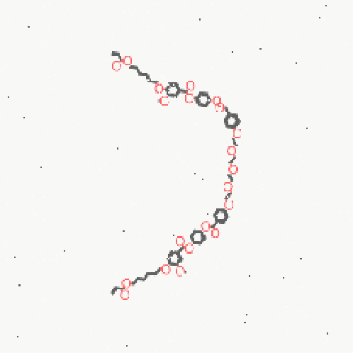 C=CC(=O)OCCCCCCOc1ccc(C(=O)Oc2ccc(OOCc3ccc(OCCOCCOCCOCCOc4ccc(C(=O)Oc5ccc(OC(=O)c6ccc(OCCCCCCOC(=O)C=C)c(OC)c6)cc5)cc4)cc3)cc2)cc1OC